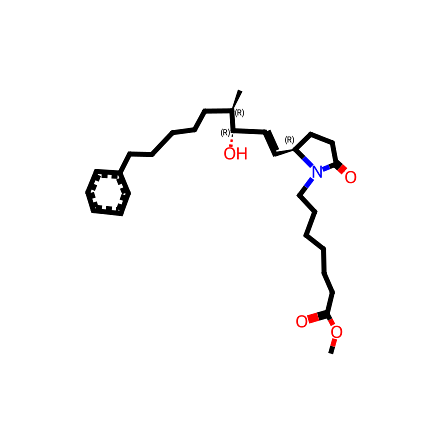 COC(=O)CCCCCCN1C(=O)CC[C@@H]1C=C[C@H](O)[C@H](C)CCCCCc1ccccc1